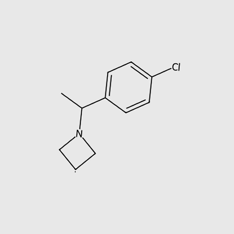 CC(c1ccc(Cl)cc1)N1C[CH]C1